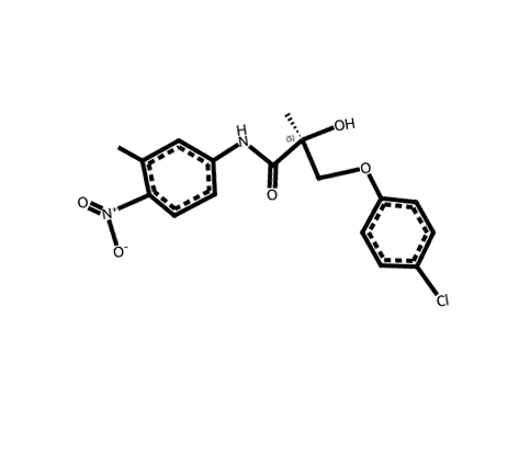 Cc1cc(NC(=O)[C@@](C)(O)COc2ccc(Cl)cc2)ccc1[N+](=O)[O-]